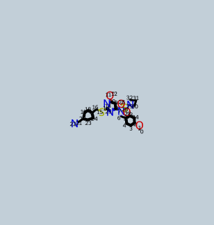 COc1ccc(CN(c2cc(OC)nc(SCc3ccc(C#N)cc3)n2)S(=O)(=O)N2CCC2)cc1